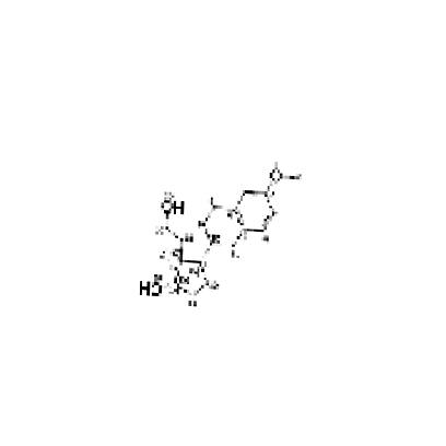 COc1ccc2c(c1)CCC([C@@H]1CC[C@H](O)[C@@]1(C)CCO)C2